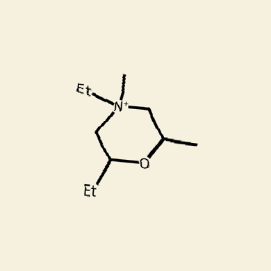 CCC1C[N+](C)(CC)CC(C)O1